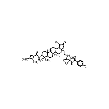 CC(C)C1=C2C3CCC4C(C)(CCC5C(C)(C)C(OC(=O)C6CC(C=O)C6C)CCC54C)C3CCC2(CCNC(=O)C(C)(C)NC(=O)c2ccc(Cl)cc2)CC1=O